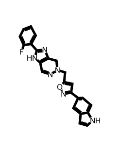 Fc1ccccc1-c1nc2c([nH]1)C=NN(Cc1cc(-c3ccc4[nH]ccc4c3)no1)C2